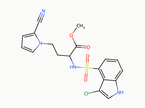 COC(=O)C(CCn1cccc1C#N)NS(=O)(=O)c1cccc2[nH]cc(Cl)c12